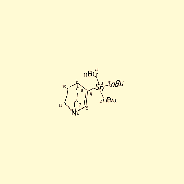 CCC[CH2][Sn]([CH2]CCC)([CH2]CCC)[C]1=CN2CCC1CC2